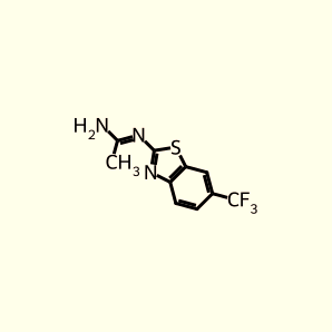 C/C(N)=N\c1nc2ccc(C(F)(F)F)cc2s1